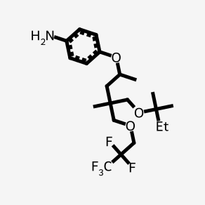 CCC(C)(C)OCC(C)(COCC(F)(F)C(F)(F)F)CC(C)Oc1ccc(N)cc1